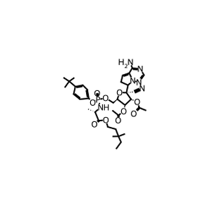 CCC(C)(C)CCOC(=O)[C@H](C)NP(=O)(OC[C@H]1O[C@@](C#N)(C2CC=C3C(N)=NC=NN32)[C@H](OC(C)=O)[C@@H]1OC(C)=O)Oc1ccc(C(C)(C)C)cc1